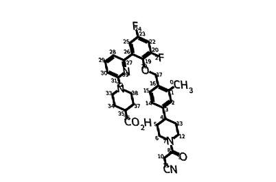 Cc1cc(C2CCN(C(=O)CC#N)CC2)ccc1COc1c(F)cc(F)cc1-c1cccc(N2CCC(C(=O)O)CC2)n1